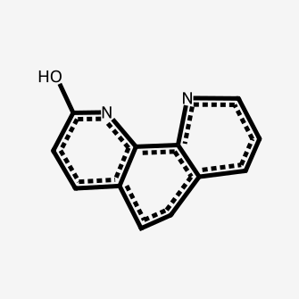 Oc1ccc2ccc3cccnc3c2n1